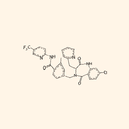 Cc1cc(CN2C(=O)c3ccc(Cl)cc3NC(=O)C2Cc2ccccn2)ccc1C(=O)Nc1ccc(C(F)(F)F)cn1